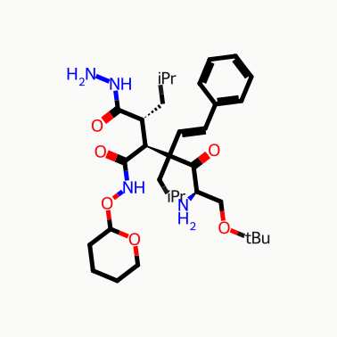 CC(C)C[C@@H](C(=O)NN)[C@H](C(=O)NOC1CCCCO1)C(/C=C/c1ccccc1)(CC(C)C)C(=O)[C@H](N)COC(C)(C)C